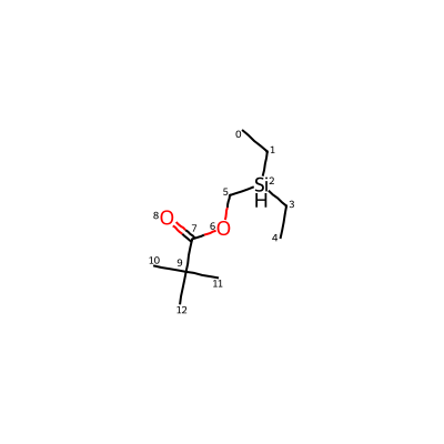 CC[SiH](CC)COC(=O)C(C)(C)C